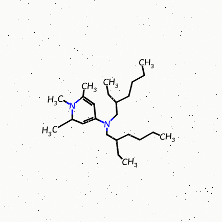 CCCCC(CC)CN(CC(CC)CCCC)C1=CC(C)N(C)C(C)=C1